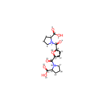 O=C(O)C1CCCN1C(=O)c1ccc(C(=O)N2CCCC2C(=O)O)o1